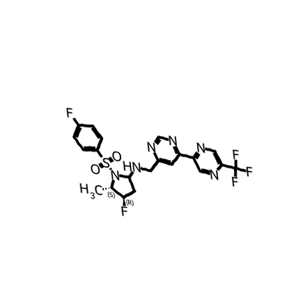 C[C@H]1[C@H](F)CC(NCc2cc(-c3cnc(C(F)(F)F)cn3)ncn2)N1S(=O)(=O)c1ccc(F)cc1